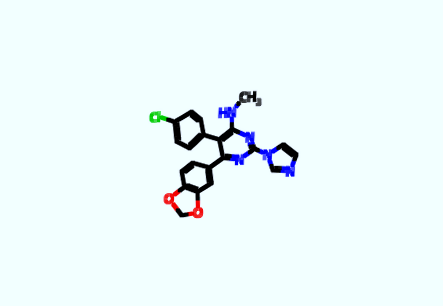 CNc1nc(-n2ccnc2)nc(-c2ccc3c(c2)OCO3)c1-c1ccc(Cl)cc1